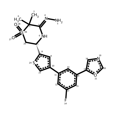 CC1(C)C(=NN)N[C@H](c2cc(-c3cc(F)cc(-c4cnco4)c3)cs2)CS1(=O)=O